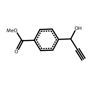 C#CC(O)c1ccc(C(=O)OC)cc1